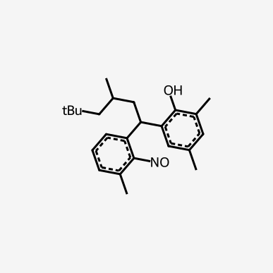 Cc1cc(C)c(O)c(C(CC(C)CC(C)(C)C)c2cccc(C)c2N=O)c1